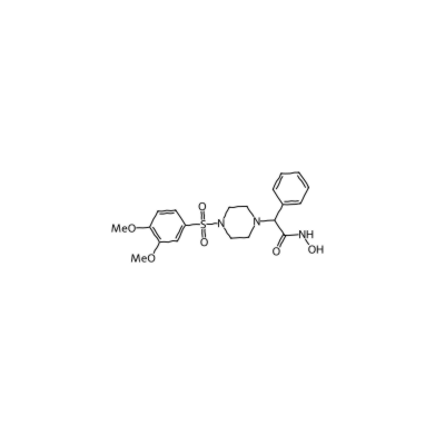 COc1ccc(S(=O)(=O)N2CCN(C(C(=O)NO)c3ccccc3)CC2)cc1OC